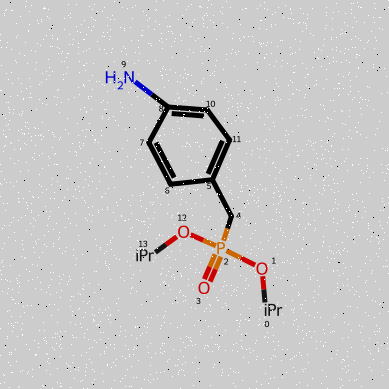 CC(C)OP(=O)(Cc1ccc(N)cc1)OC(C)C